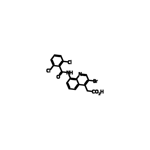 O=C(O)Cc1c(Br)cnc2c(NC(=O)c3c(Cl)cccc3Cl)cccc12